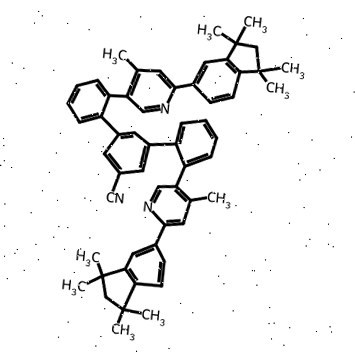 Cc1cc(-c2ccc3c(c2)C(C)(C)CC3(C)C)ncc1-c1ccccc1-c1cc(C#N)cc(-c2ccccc2-c2cnc(-c3ccc4c(c3)C(C)(C)CC4(C)C)cc2C)c1